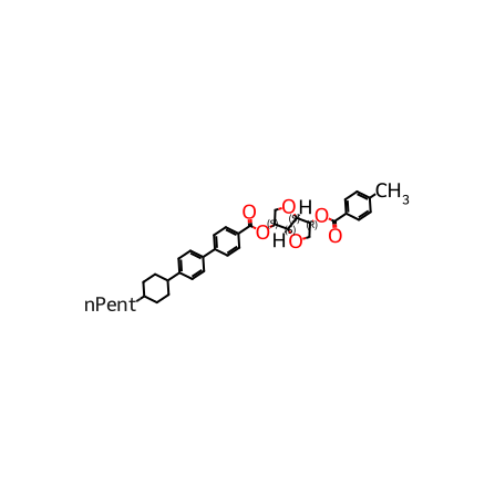 CCCCCC1CCC(c2ccc(-c3ccc(C(=O)O[C@H]4CO[C@@H]5[C@H]4OC[C@H]5OC(=O)c4ccc(C)cc4)cc3)cc2)CC1